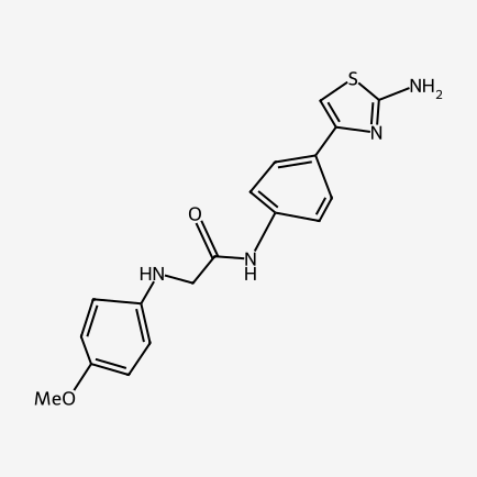 COc1ccc(NCC(=O)Nc2ccc(-c3csc(N)n3)cc2)cc1